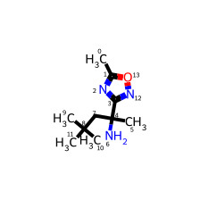 Cc1nc(C(C)(N)CC(C)(C)C)no1